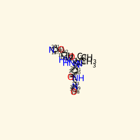 CC(C)(C)c1cc(NC(=O)Nc2ccc(Oc3ccncc3)cc2)n(-c2ccc(C(=O)NCCN3CCOCC3)cc2)n1